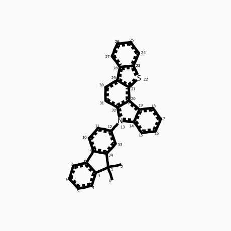 CC1(C)c2ccccc2-c2ccc(-n3c4ccccc4c4c5sc6ccccc6c5ccc43)cc21